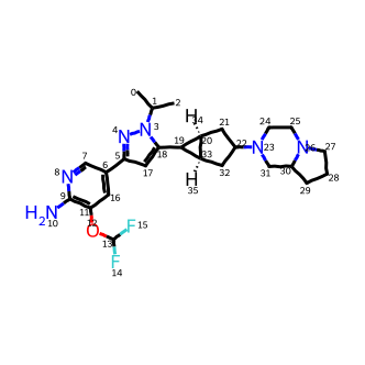 CC(C)n1nc(-c2cnc(N)c(OC(F)F)c2)cc1C1[C@H]2CC(N3CCN4CCCC4C3)C[C@@H]12